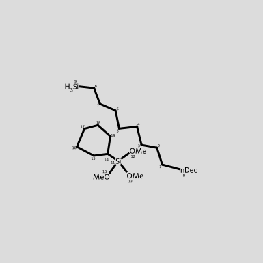 CCCCCCCCCCCCCCCCCC[SiH3].CO[Si](OC)(OC)C1CCCCC1